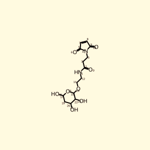 O=C(CCN1C(=O)C=CC1=O)NCCOC1OC(O)CC(O)C1O